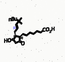 CCCCC(C)(C)/C=C/C[C@H]1[C@H](O)CC(=O)[C@@H]1CCCCCCC(=O)O